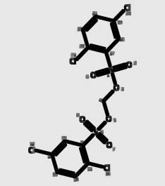 O=S(=O)(OCOS(=O)(=O)c1cc(Cl)ccc1Cl)c1cc(Cl)ccc1Cl